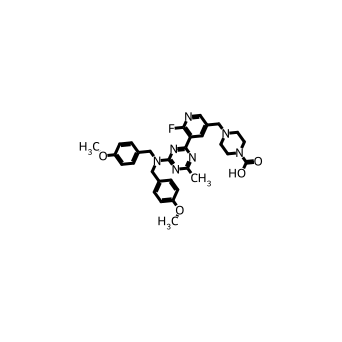 COc1ccc(CN(Cc2ccc(OC)cc2)c2nc(C)nc(-c3cc(CN4CCN(C(=O)O)CC4)cnc3F)n2)cc1